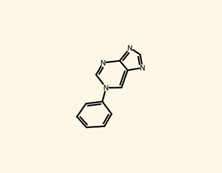 c1ccc(-n2cnc3ncnc-3c2)cc1